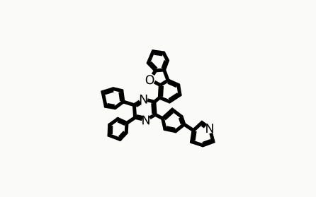 c1ccc(-c2nc(-c3ccc(-c4cccnc4)cc3)c(-c3cccc4c3oc3ccccc34)nc2-c2ccccc2)cc1